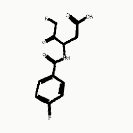 O=C(O)CC(NC(=O)c1ccc(F)cc1)C(=O)CF